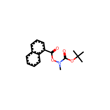 CN(OC(=O)c1cccc2ccccc12)C(=O)OC(C)(C)C